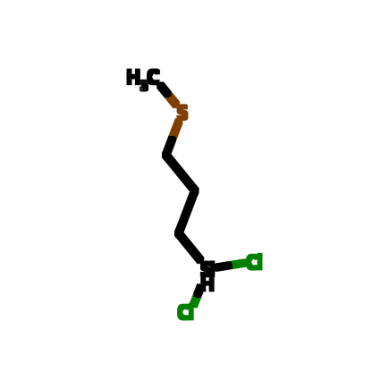 CSCCC[SiH](Cl)Cl